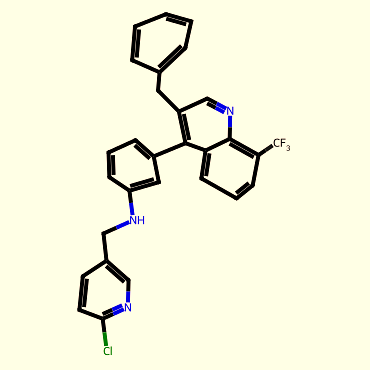 FC(F)(F)c1cccc2c(-c3cccc(NCc4ccc(Cl)nc4)c3)c(Cc3ccccc3)cnc12